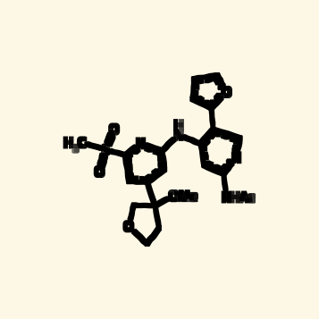 COC1(c2cc(Nc3cc(NC(C)=O)ncc3-c3ccco3)nc(S(C)(=O)=O)c2)CCOC1